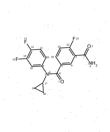 NC(=O)c1cc(C(=O)N(c2ccc(F)c(F)c2)C2CC2)ccc1F